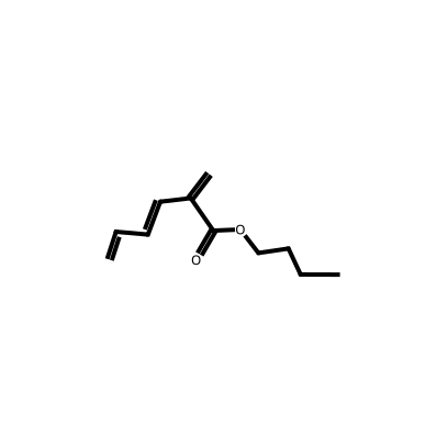 C=CC=CC(=C)C(=O)OCCCC